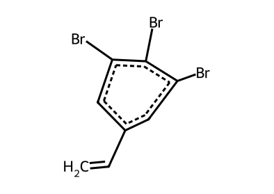 C=Cc1cc(Br)c(Br)c(Br)c1